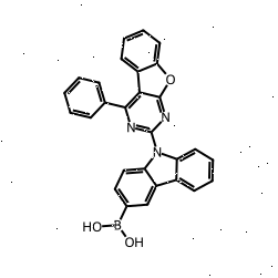 OB(O)c1ccc2c(c1)c1ccccc1n2-c1nc(-c2ccccc2)c2c(n1)oc1ccccc12